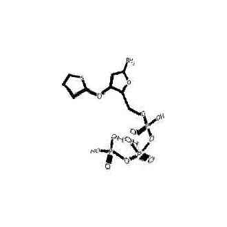 BC1CC(OC2CCCS2)C(COP(=O)(O)OP(=O)(O)OP(=O)(O)O)O1